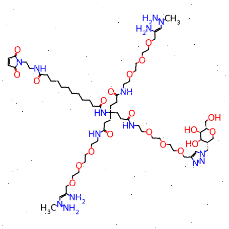 CN(N)/C=C(\N)COCCOCCOCCNC(=O)CCC(CCC(=O)NCCOCCOCCOC/C(N)=C/N(C)N)(CCC(=O)NCCOCCOCCOCc1cn(C[C@H]2CO[C@H](CO)[C@H](O)[C@@H]2O)nn1)NC(=O)CCCCCCCCCCC(=O)NCCN1C(=O)C=CC1=O